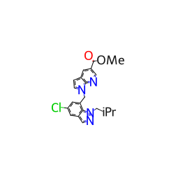 COC(=O)c1cnc2c(ccn2Cc2cc(Cl)cc3cnn(CC(C)C)c23)c1